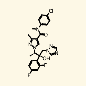 Cc1nn([C@H](C)[C@](O)(Cn2cncn2)c2ccc(F)cc2F)cc1C(=O)N(C)c1ccc(Cl)cc1